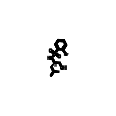 CC(C)C[C@@H](CO)NS(=O)(=O)c1ccccc1Br